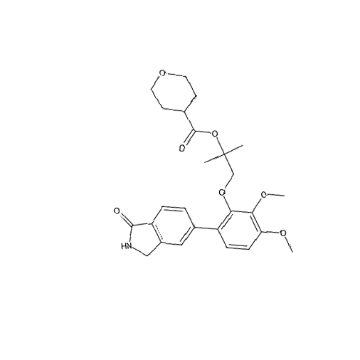 COc1ccc(-c2ccc3c(c2)CNC3=O)c(OCC(C)(C)OC(=O)C2CCOCC2)c1OC